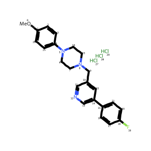 COc1ccc(N2CCN(Cc3cncc(-c4ccc(F)cc4)c3)CC2)cc1.Cl.Cl.Cl